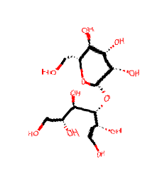 OC[C@@H](O)[C@@H](O)[C@H](O[C@@H]1O[C@H](CO)[C@@H](O)[C@H](O)[C@@H]1O)[C@H](O)CO